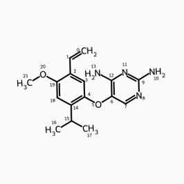 C=Cc1cc(Oc2cnc(N)nc2N)c(C(C)C)cc1OC